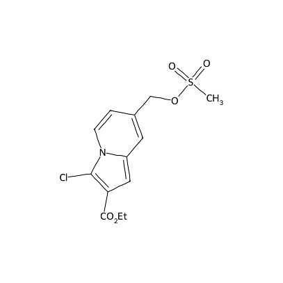 CCOC(=O)c1cc2cc(COS(C)(=O)=O)ccn2c1Cl